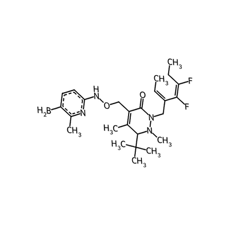 Bc1ccc(NOCC2=C(C)C(C(C)(C)C)N(C)N(CC(=C/C)/C(F)=C(/F)CC)C2=O)nc1C